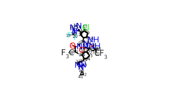 C[C@H](C(=O)NC[C@H](c1ccc(Cl)c(-c2ncnn2C(F)F)c1)N1C(=N)N[C@](CC(C)(C)C(F)(F)F)(c2ccc(-c3cnn(C4CC4)n3)cc2)C1=O)C(F)(F)F